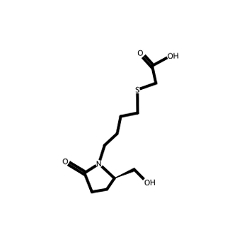 O=C(O)CSCCCCN1C(=O)CC[C@@H]1CO